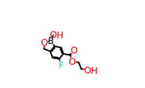 O=C(OCCO)c1cc2c(cc1F)COB2O